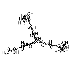 CCC(COCCC(=O)NCCCNC(=O)CCCCOC(O)CNC(C)=O)(COCCC(=O)NCCCNC(=O)CCCCOC1OC(CO)C(O)C(O)C1NC(C)=O)COCCC(=O)NCCCNC(=O)CCCCOC1OC(CO)C(O)C(O)C1NC(C)=O